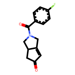 O=C1C=C2CN(C(=O)c3ccc(F)cc3)CC2C1